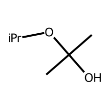 CC(C)OC(C)(C)O